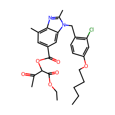 CCCCCOc1ccc(Cn2c(C)nc3c(C)cc(C(=O)OC(C(C)=O)C(=O)OCC)cc32)c(Cl)c1